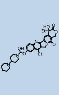 CCc1c2c(nc3ccc(OC(O)N4CCC(N5CCCCC5)CC4)cc13)-c1cc3c(c(=O)n1C2)COC(=O)[C@]3(O)CC